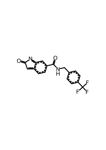 O=C1C=c2ccc(C(=O)NCc3ccc(C(F)(F)F)cc3)cc2=N1